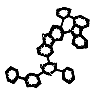 c1ccc(-c2cccc(-c3nc(-c4ccccc4)nc(-c4ccc5oc6cc7c(cc6c5c4)-n4c5ccccc5c5cccc(c54)-c4ccccc4-7)n3)c2)cc1